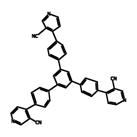 N#Cc1cnccc1-c1ccc(-c2cc(-c3ccc(-c4ccncc4C#N)cc3)cc(-c3ccc(-c4ccncc4C#N)cc3)c2)cc1